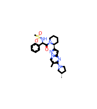 Cc1cn2nc([C@@H]3CCCCN3C(=O)[C@H](NS(C)(=O)=O)c3ccccc3)cc2nc1N1CC[C@H](C)C1